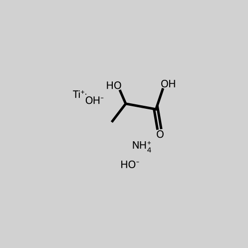 CC(O)C(=O)O.[NH4+].[OH-].[OH-].[Ti+]